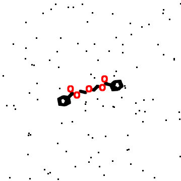 O=C(OCCOCCOC(=O)C1CC2C=CC1C2)C1CC2C=CC1C2